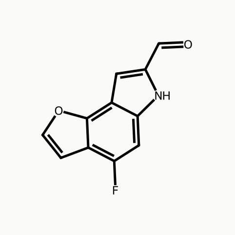 O=Cc1cc2c(cc(F)c3ccoc32)[nH]1